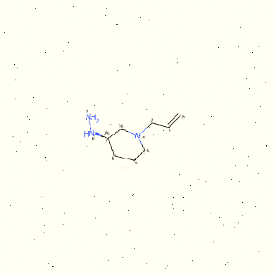 C=CCN1CCC[C@@H](NN)C1